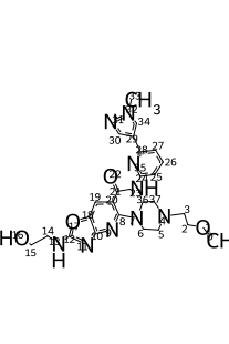 COCCN1CCN(c2nc3nc(NCCO)oc3cc2C(=O)Nc2cccc(-c3cnn(C)c3)n2)CC1